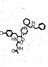 CC(=O)NCC(=O)NC(Cc1ccc(Cl)cc1)C(=O)N1CCN(C2(CNCc3ccccc3)CCCCC2)CC1